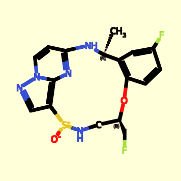 C[C@H]1Nc2ccn3ncc(c3n2)[S+]([O-])NC[C@H](CF)Oc2ccc(F)cc21